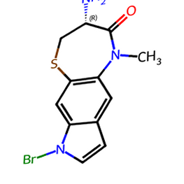 CN1C(=O)[C@@H](N)CSc2cc3c(ccn3Br)cc21